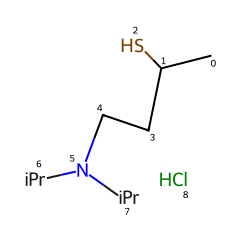 CC(S)CCN(C(C)C)C(C)C.Cl